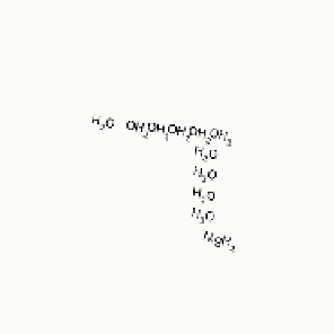 O.O.O.O.O.O.O.O.O.O.[MgH2]